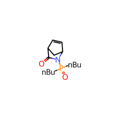 CCCCP(=O)(CCCC)N1C(=O)C2C=CC1C2